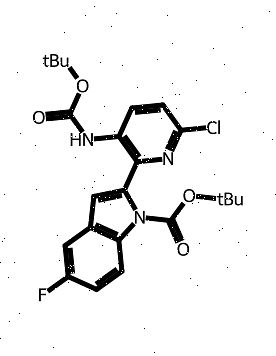 CC(C)(C)OC(=O)Nc1ccc(Cl)nc1-c1cc2cc(F)ccc2n1C(=O)OC(C)(C)C